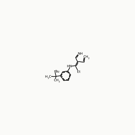 C=C/C(C=N)=C(\CC)Nc1cccc(C(C)(C)C(C)(C)C)c1